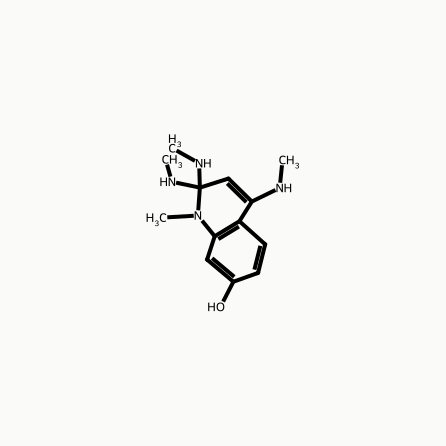 CNC1=CC(NC)(NC)N(C)c2cc(O)ccc21